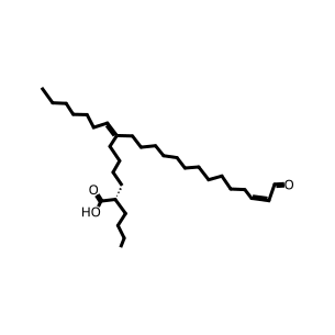 CCCCCC/C=C(/CCCCCCCCCCC/C=C\C=O)CCCC[C@H](CCCC)C(=O)O